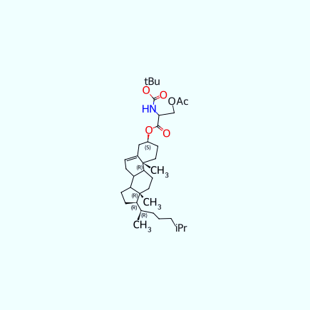 CC(=O)OCC(NC(=O)OC(C)(C)C)C(=O)O[C@H]1CC[C@@]2(C)C(=CCC3C2CC[C@@]2(C)C3CC[C@@H]2[C@H](C)CCCC(C)C)C1